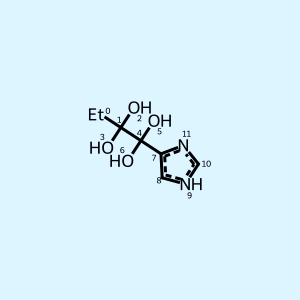 CCC(O)(O)C(O)(O)c1c[nH]cn1